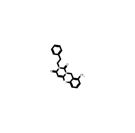 Cc1cc(=O)n(CCc2ccccc2)c(=O)n1Cc1c(F)cccc1C(F)(F)F